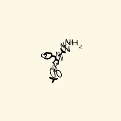 CC(C)(C)OC(=O)N1Cc2nc(-c3cnc(N)nc3)nc(C3C=COCC3)c2C1